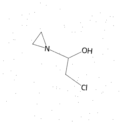 OC(CCl)N1CC1